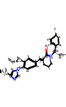 COc1cc(/C=C2\CCCN([C@H](c3ccc(F)cc3)C(C)C)C2=O)ccc1-n1cnc(C)c1